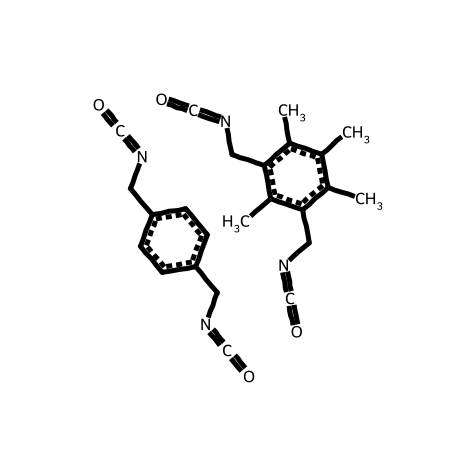 Cc1c(C)c(CN=C=O)c(C)c(CN=C=O)c1C.O=C=NCc1ccc(CN=C=O)cc1